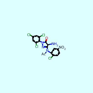 CC(=O)N(C1=NN(c2c(Cl)cc(Cl)cc2Cl)C(=O)C1N)c1cc([N+](=O)[O-])ccc1Cl